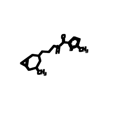 Cc1ccc(C(=O)NCCCC2CC3=C(C3)CC(C)C2)s1